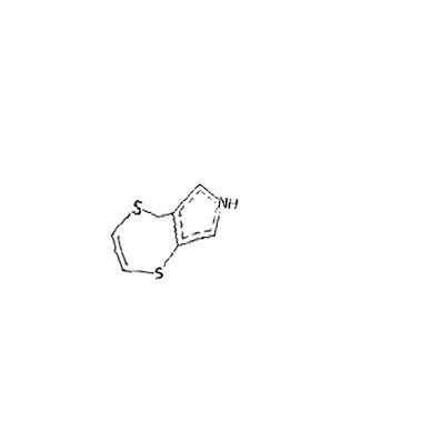 C1=CSc2c[nH]cc2S1